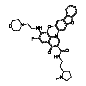 CN1CCCC1CCNC(=O)c1cn2c3c(c(NCCN4CCOCC4)c(F)cc3c1=O)Oc1cc3c(cc1-2)oc1ccccc13